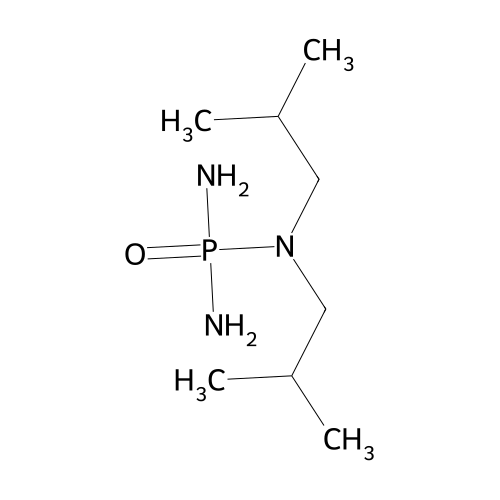 CC(C)CN(CC(C)C)P(N)(N)=O